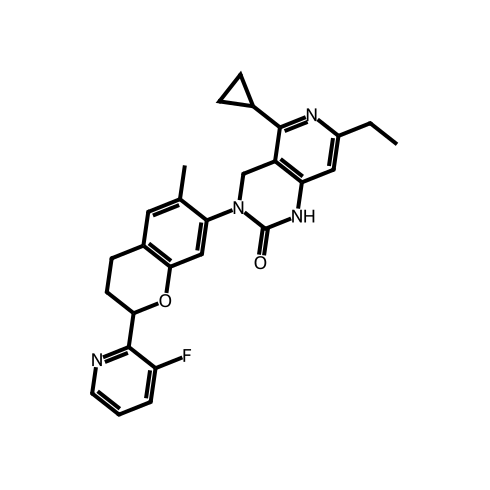 CCc1cc2c(c(C3CC3)n1)CN(c1cc3c(cc1C)CCC(c1ncccc1F)O3)C(=O)N2